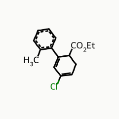 CCOC(=O)C1CC=C(Cl)C=C1c1ccccc1C